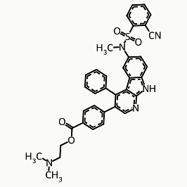 CN(C)CCOC(=O)c1ccc(-c2cnc3[nH]c4ccc(N(C)S(=O)(=O)c5ccccc5C#N)cc4c3c2-c2ccccc2)cc1